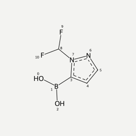 OB(O)c1ccnn1C(F)F